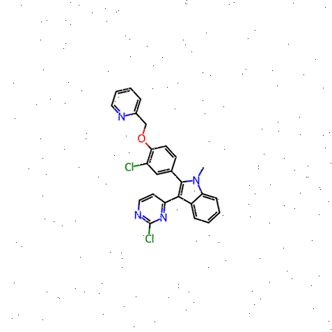 Cn1c(-c2ccc(OCc3ccccn3)c(Cl)c2)c(-c2ccnc(Cl)n2)c2ccccc21